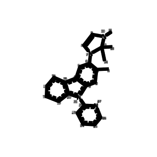 Cc1cc2c(cc1N1C=CN(C)C1(C)C)c1ccccc1n2-c1ccccn1